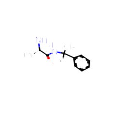 CC(C)[C@@H](N)C(=O)NC(C)(C)c1ccccc1